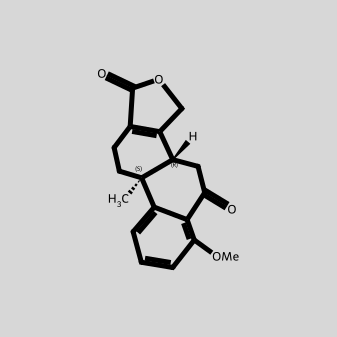 COc1cccc2c1C(=O)C[C@H]1C3=C(CC[C@]21C)C(=O)OC3